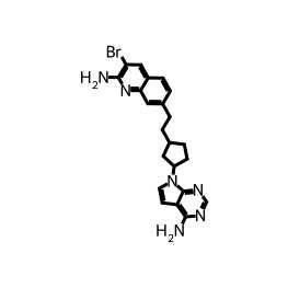 Nc1nc2cc(CCC3CCC(n4ccc5c(N)ncnc54)C3)ccc2cc1Br